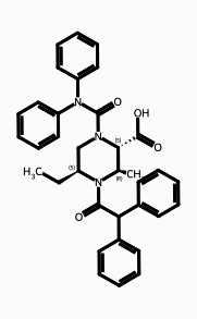 CC[C@H]1CN(C(=O)N(c2ccccc2)c2ccccc2)[C@H](C(=O)O)[C@@H](C)N1C(=O)C(c1ccccc1)c1ccccc1